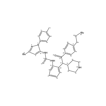 Cc1ccc(-n2nc(C(C)(C)C)cc2NC(=O)Nc2ccccc2C(C(=O)c2ccc(COC(C)(C)C)cc2)C2CCNCC2)cc1